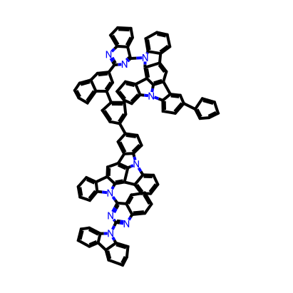 c1ccc(-c2ccc3c(c2)c2cc4c5ccccc5n(-c5nc(-c6cc(-c7ccc(-c8ccc9c(c8)c8cc%10c%11ccccc%11n(-c%11nc(-n%12c%13ccccc%13c%13ccccc%13%12)nc%12ccccc%11%12)c%10c%10c%11ccccc%11n9c8%10)cc7)c7ccccc7c6)nc6ccccc56)c4c4c5ccccc5n3c24)cc1